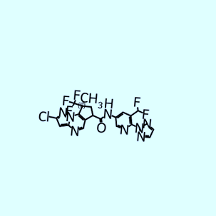 C[C@]1(C(F)(F)F)CC(C(=O)Nc2cnc(-n3nccn3)c(C(F)F)c2)c2cnc3cc(Cl)nn3c21